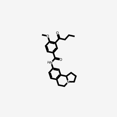 CCCC(=O)c1cc(C(=O)Nc2ccc3c(c2)C2CCCN2CC3)ccc1OC